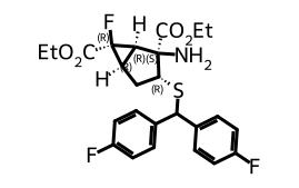 CCOC(=O)[C@@]1(N)[C@H]2[C@@H](C[C@H]1SC(c1ccc(F)cc1)c1ccc(F)cc1)[C@]2(F)C(=O)OCC